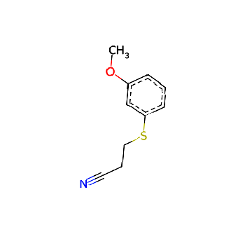 COc1cccc(SCCC#N)c1